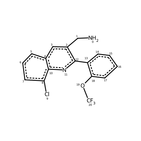 NCc1cc2cccc(Cl)c2nc1-c1ccccc1OC(F)(F)F